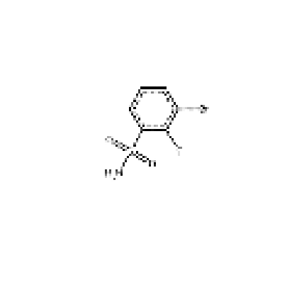 NS(=O)(=O)c1cccc(Br)c1F